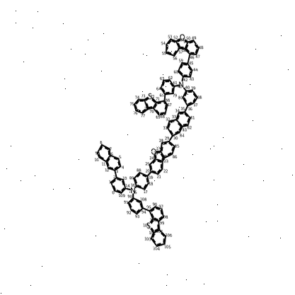 c1cc(-c2ccc3ccccc3c2)cc(N(c2ccc(-c3ccc4c(c3)oc3cc(-c5ccc6cc(-c7cccc(N(c8ccc(-c9cccc%10oc%11ccccc%11c9%10)cc8)c8cccc(-c9cccc%10c9sc9ccccc9%10)c8)c7)ccc6c5)ccc34)cc2)c2cccc(-c3cccc4c3sc3ccccc34)c2)c1